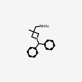 CC(=O)NCC1(C)CN(C(c2ccccc2)c2ccccc2)C1